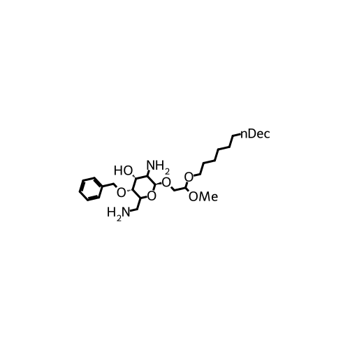 CCCCCCCCCCCCCCCCOC(CO[C@H]1OC(CN)[C@H](OCc2ccccc2)[C@H](O)C1N)OC